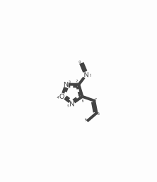 C=Nc1nonc1/C=C\C